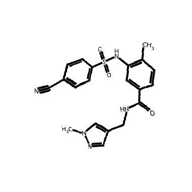 Cc1ccc(C(=O)NCc2cnn(C)c2)cc1NS(=O)(=O)c1ccc(C#N)cc1